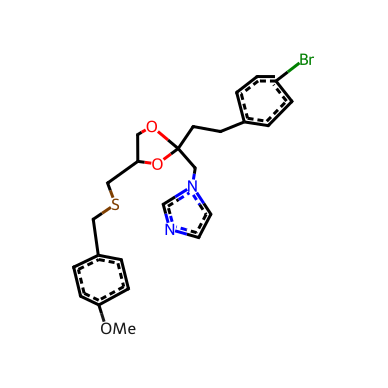 COc1ccc(CSCC2COC(CCc3ccc(Br)cc3)(Cn3ccnc3)O2)cc1